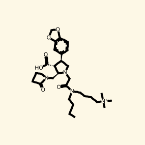 CCCCN(CCCC[N+](C)(C)C)C(=O)CN1C[C@H](c2ccc3c(c2)OCO3)[C@@H](C(=O)O)[C@@H]1CN1CCCC1=O